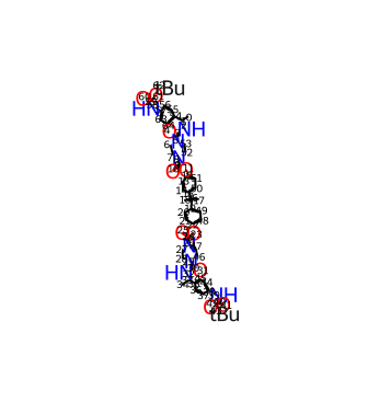 CC(NC(=O)N1CCN(C(=O)Oc2ccc(C(C)(C)c3ccc(OC(=O)N4CCN(C(=O)NC(C)c5ccc(NC(=O)OC(C)(C)C)cc5)CC4)cc3)cc2)CC1)c1ccc(NC(=O)OC(C)(C)C)cc1